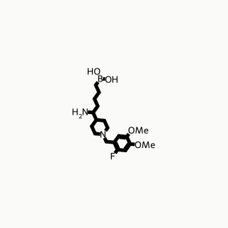 COc1cc(F)c(CN2CCC(C(N)CCCCB(O)O)CC2)cc1OC